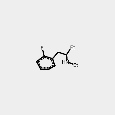 CCNC(CC)Cc1ccccc1F